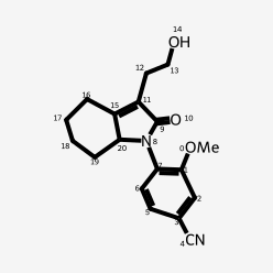 COc1cc(C#N)ccc1N1C(=O)C(CCO)=C2CCCCC21